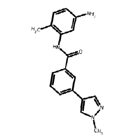 Cc1ccc(N)cc1NC(=O)c1cccc(-c2cnn(C)c2)c1